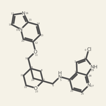 Clc1cc2c(NCC34CC(COc5ccc6nccn6c5)(CCO3)C4)ccnc2[nH]1